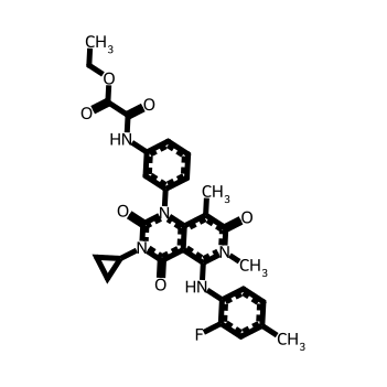 CCOC(=O)C(=O)Nc1cccc(-n2c(=O)n(C3CC3)c(=O)c3c(Nc4ccc(C)cc4F)n(C)c(=O)c(C)c32)c1